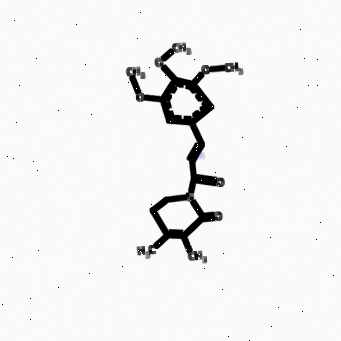 COc1cc(/C=C/C(=O)N2CCC(C)=C(C)C2=O)cc(OC)c1OC